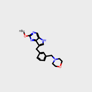 CCCCOc1ncc2[nH]cc(Cc3cccc(CN4CCOCC4)c3)c2n1